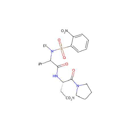 CCN(C(C(=O)N[C@@H](CC(=O)O)C(=O)N1CCCC1)C(C)C)S(=O)(=O)c1ccccc1[N+](=O)[O-]